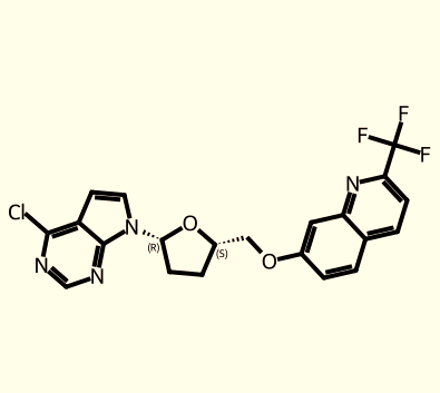 FC(F)(F)c1ccc2ccc(OC[C@@H]3CC[C@H](n4ccc5c(Cl)ncnc54)O3)cc2n1